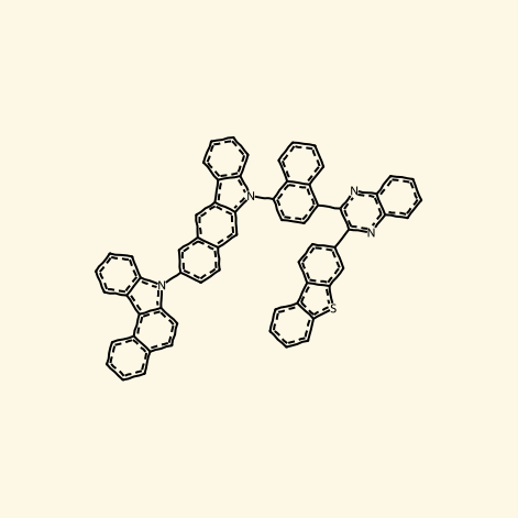 c1ccc2c(c1)ccc1c2c2ccccc2n1-c1ccc2cc3c(cc2c1)c1ccccc1n3-c1ccc(-c2nc3ccccc3nc2-c2ccc3c(c2)sc2ccccc23)c2ccccc12